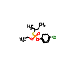 CCOP(=O)(Oc1ccc(Cl)cc1)SC(C)CC